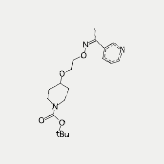 CC(=NOCCOC1CCN(C(=O)OC(C)(C)C)CC1)c1cccnc1